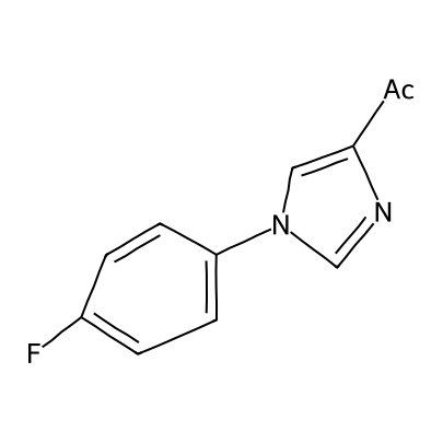 CC(=O)c1cn(-c2ccc(F)cc2)cn1